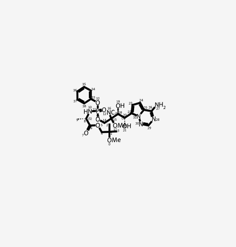 COC(C)(C)COC(=O)[C@H](C)NP(=O)(OCC(C#N)(OC)[C@@H](O)[C@@H](O)c1ccc2c(N)ncnn12)Oc1ccccc1